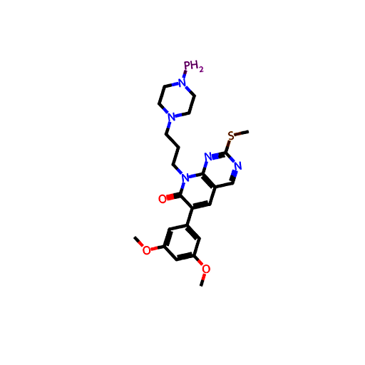 COc1cc(OC)cc(-c2cc3cnc(SC)nc3n(CCCN3CCN(P)CC3)c2=O)c1